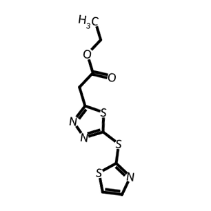 CCOC(=O)Cc1nnc(Sc2nccs2)s1